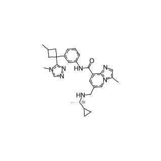 Cc1cnc2c(C(=O)Nc3cccc(C4(c5nncn5C)CC(C)C4)c3)cc(CN[C@@H](C)C3CC3)cn12